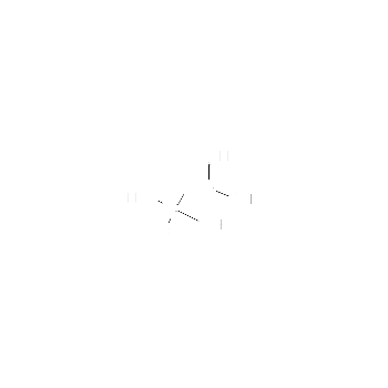 CO[SiH3].C[Si](C)(C)O